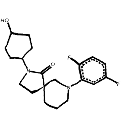 O=C1N(C2CCC(O)CC2)CC[C@@]12CCCN(c1cc(F)ccc1F)C2